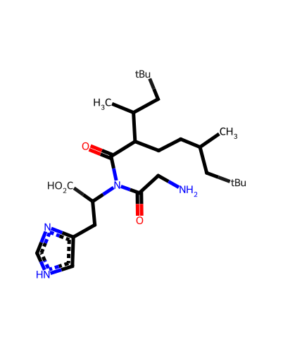 CC(CCC(C(=O)N(C(=O)CN)C(Cc1c[nH]cn1)C(=O)O)C(C)CC(C)(C)C)CC(C)(C)C